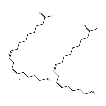 CCCCC/C=C\C/C=C\CCCCCCCC(=O)O.CCCCC/C=C\C/C=C\CCCCCCCC(=O)[O-].[K+]